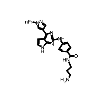 CCCn1cc(-c2nc(Nc3ccc(C(=O)NCCCN)cc3)nc3[nH]ccc23)cn1